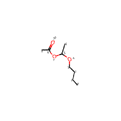 CCCCO[C](C)OC(C)=O